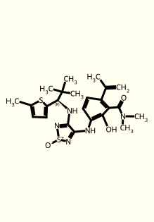 C=C(C)c1ccc(Nc2n[s+]([O-])nc2N[C@@H](c2ccc(C)s2)C(C)(C)C)c(O)c1C(=O)N(C)C